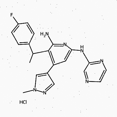 CC(c1ccc(F)cc1)c1c(-c2cnn(C)c2)cc(Nc2cnccn2)nc1N.Cl